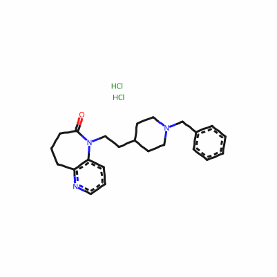 Cl.Cl.O=C1CCCc2ncccc2N1CCC1CCN(Cc2ccccc2)CC1